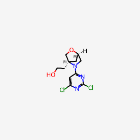 OCC[C@@]12CO[C@@H](CN1c1cc(Cl)nc(Cl)n1)C2